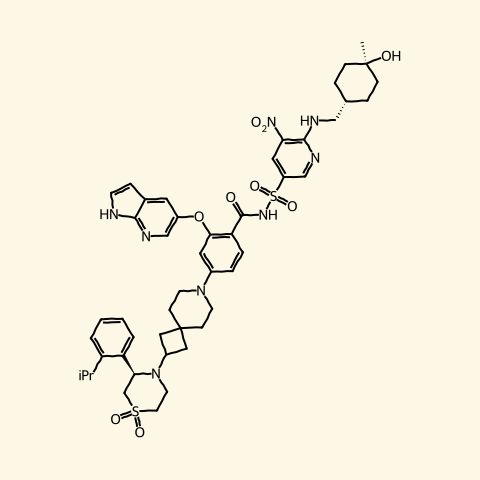 CC(C)c1ccccc1[C@@H]1CS(=O)(=O)CCN1C1CC2(CCN(c3ccc(C(=O)NS(=O)(=O)c4cnc(NC[C@H]5CC[C@](C)(O)CC5)c([N+](=O)[O-])c4)c(Oc4cnc5[nH]ccc5c4)c3)CC2)C1